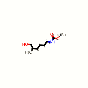 CC(CO)CCCCNC(=O)OC(C)(C)C